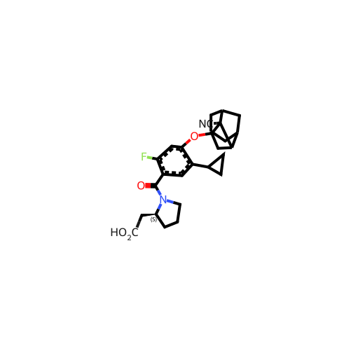 N#CC1(COc2cc(F)c(C(=O)N3CCC[C@H]3CC(=O)O)cc2C2CC2)C2CC3CC(C2)C1C3